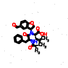 CC(=O)NC(Cc1ccccc1)C(=O)N([C@@H]1COc2ccc(C=O)cc21)[C@@H](CC(C)C)C(=O)O